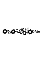 COc1ccc(N2CCN(CC(O)COc3ccc(OCc4ccccc4)cc3)CC2)c(OC)c1